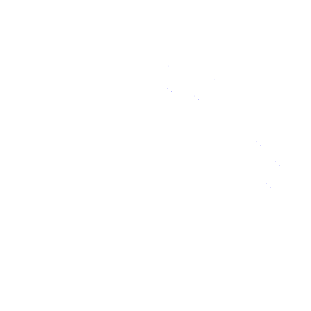 COC(=O)/C=C/n1nnn(CS(=O)(=O)Cn2nnn(/C=C/C(=O)OC)c2=O)c1=O